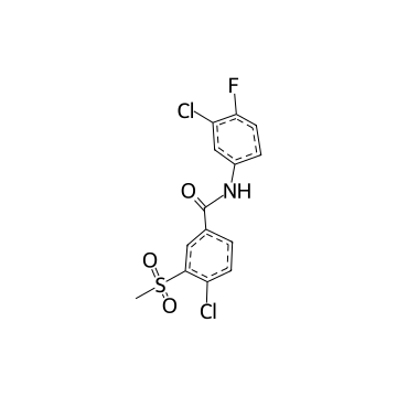 CS(=O)(=O)c1cc(C(=O)Nc2ccc(F)c(Cl)c2)ccc1Cl